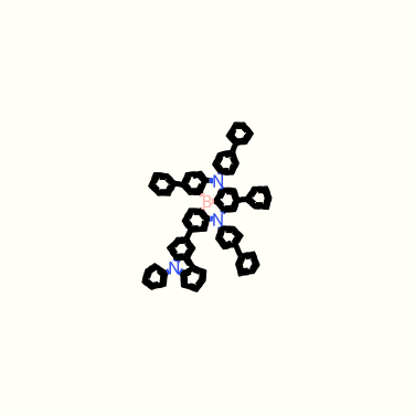 c1ccc(-c2ccc(N3c4ccc(-c5ccccc5)cc4B4c5ccc(-c6ccc7c(c6)c6ccccc6n7-c6ccccc6)cc5N(c5ccc(-c6ccccc6)cc5)c5cc(-c6ccccc6)cc3c54)cc2)cc1